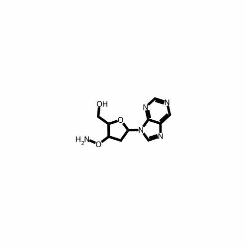 NOC1CC(n2cnc3cncnc32)OC1CO